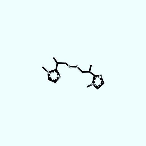 CC(CSSCC(C)c1nccn1C)c1nccn1C